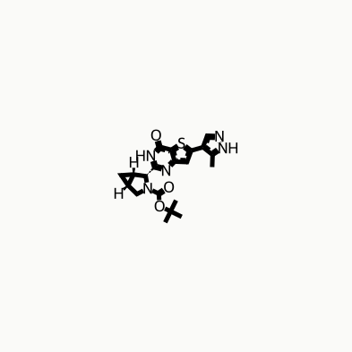 Cc1[nH]ncc1-c1cc2nc([C@H]3[C@H]4C[C@H]4CN3C(=O)OC(C)(C)C)[nH]c(=O)c2s1